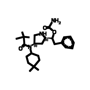 CC1(C)CCC(N(C(=O)C(C)(C)C)[C@@H]2CN[C@H](C(Cc3ccccc3)OC(N)=O)C2)CC1